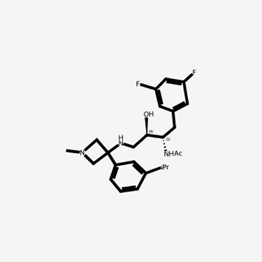 CC(=O)N[C@@H](Cc1cc(F)cc(F)c1)[C@H](O)CNC1(c2cccc(C(C)C)c2)CN(C)C1